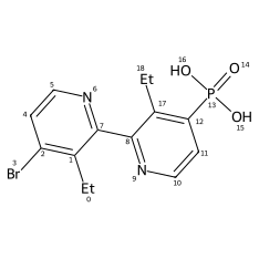 CCc1c(Br)ccnc1-c1nccc(P(=O)(O)O)c1CC